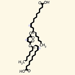 CCCCCC[C@H](C/C=C\CCCCCCCC(=O)O)OC(=O)/C=C\C(=O)O[C@@H](C/C=C\CCCCCCCC(=O)O)CCCCCC